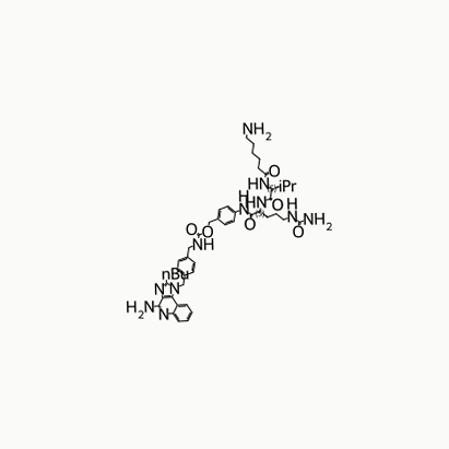 CCCCc1nc2c(N)nc3ccccc3c2n1Cc1ccc(CNC(=O)OCc2ccc(NC(=O)[C@H](CCCNC(N)=O)NC(=O)[C@@H](NC(=O)CCCCCN)C(C)C)cc2)cc1